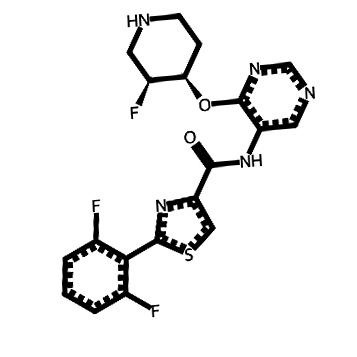 O=C(Nc1cncnc1O[C@@H]1CCNC[C@@H]1F)c1csc(-c2c(F)cccc2F)n1